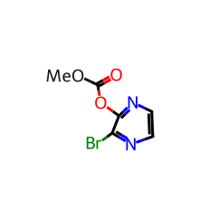 COC(=O)Oc1nccnc1Br